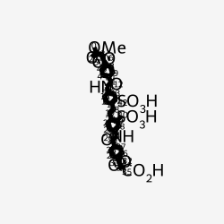 COC(=O)CS(=O)(=O)c1ccc(C(=O)Nc2ccc(C=Cc3ccc(NC(=O)c4ccc(S(=O)(=O)CC(=O)O)cc4)cc3S(=O)(=O)O)c(S(=O)(=O)O)c2)cc1